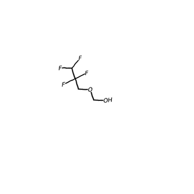 OCOCC(F)(F)C(F)F